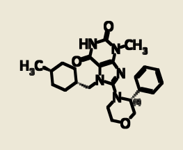 Cn1c(=O)[nH]c(=O)c2c1nc(N1CCOC[C@H]1c1ccccc1)n2C[C@H]1CC[C@H](C)CC1